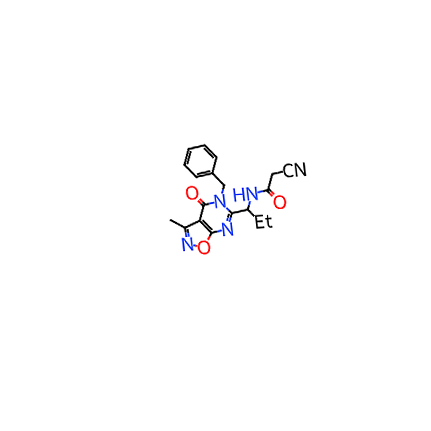 CCC(NC(=O)CC#N)c1nc2onc(C)c2c(=O)n1Cc1ccccc1